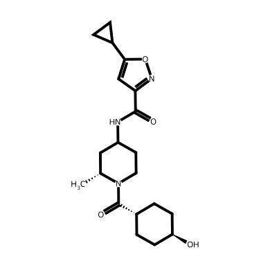 C[C@@H]1CC(NC(=O)c2cc(C3CC3)on2)CCN1C(=O)[C@H]1CC[C@H](O)CC1